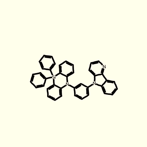 c1ccc([Si]2(c3ccccc3)c3ccccc3N(c3cccc(-n4c5ccccc5c5ncccc54)c3)c3ccccc32)cc1